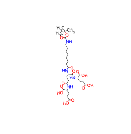 CC(C)(C)OC(=O)NCCCCCCCC(=O)NC(CCC(=O)NC(CCC(=O)O)C(=O)O)C(=O)NC(CCC(=O)O)C(=O)O